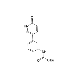 CC(C)COC(=O)Nc1cccc(-c2ccc(=O)[nH]n2)c1